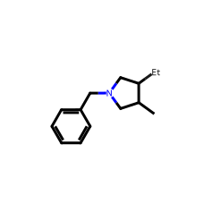 CCC1CN(Cc2ccccc2)CC1C